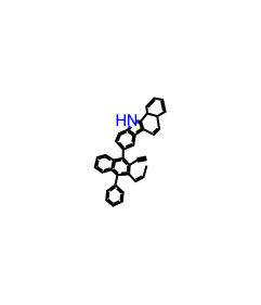 C#Cc1c(/C=C\C)c(-c2ccccc2)c2ccccc2c1-c1ccc2[nH]c3c(c2c1)C=CC1C=CC=CC31